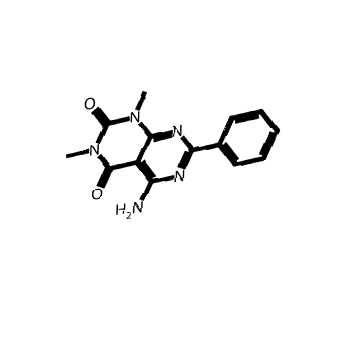 Cn1c(=O)c2c(N)nc(-c3ccccc3)nc2n(C)c1=O